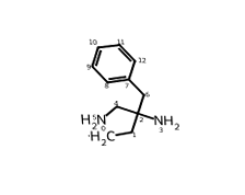 [CH2]CC(N)(CN)Cc1ccccc1